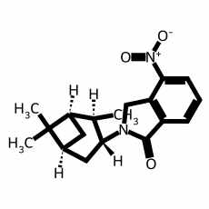 C[C@H]1[C@H](N2Cc3c(cccc3[N+](=O)[O-])C2=O)C[C@@H]2C[C@H]1C2(C)C